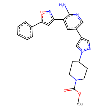 CC(C)(C)OC(=O)N1CCC(n2cc(-c3cnc(N)c(-c4cc(-c5ccccc5)on4)c3)cn2)CC1